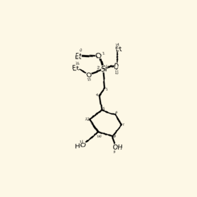 CCO[Si](CCC1CCC(O)C(O)C1)(OCC)OCC